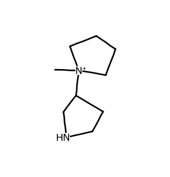 C[N+]1(C2CCNC2)CCCC1